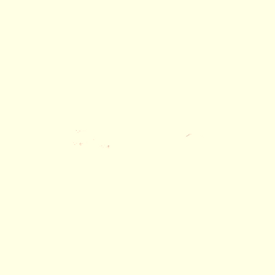 C=CCCCCCCCCCOC[Si](OC)(OC)OC